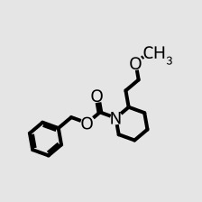 COCCC1CCCCN1C(=O)OCc1ccccc1